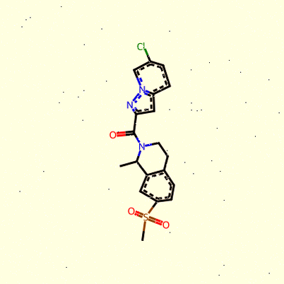 CC1c2cc(S(C)(=O)=O)ccc2CCN1C(=O)c1cc2ccc(Cl)cn2n1